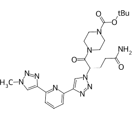 Cn1cc(-c2cccc(-c3cn([C@@H](CCC(N)=O)C(=O)N4CCN(C(=O)OC(C)(C)C)CC4)nn3)n2)nn1